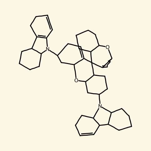 C1=CC2=C(CC1)C1CCCCC1N2C1CC=C2C(C1)OC1CC(N3C4CCC=CC4C4CCCCC43)CCC1C21C2=CCCCC2OC2CCCCC21